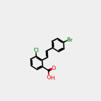 O=C(O)c1cccc(Cl)c1/C=C/c1ccc(Br)cc1